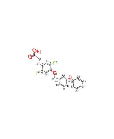 O=C(O)CCc1cc(F)c(OCc2cccc(Oc3ccccc3)c2)cc1F